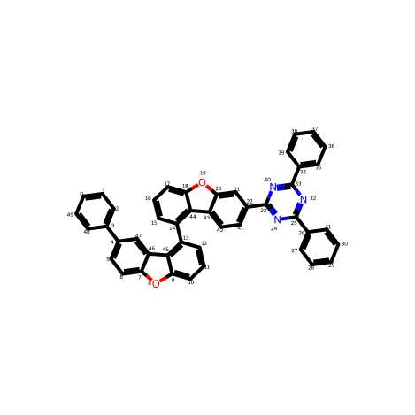 c1ccc(-c2ccc3oc4cccc(-c5cccc6oc7cc(-c8nc(-c9ccccc9)nc(-c9ccccc9)n8)ccc7c56)c4c3c2)cc1